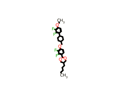 CCCCCC1COC(c2ccc(OCC3CCC(c4ccc(OCC)c(F)c4F)CC3)c(F)c2F)OC1